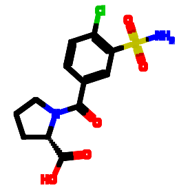 NS(=O)(=O)c1cc(C(=O)N2CCC[C@H]2C(=O)O)ccc1Cl